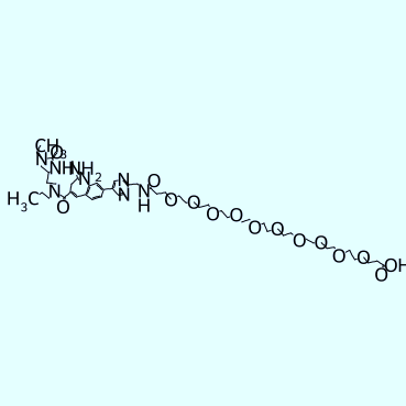 CCCN(CCC1CN(CC)C(=O)N1)C(=O)C1=Cc2ccc(-c3cnc(CNC(=O)CCOCCOCCOCCOCCOCCOCCOCCOCCOCCOCCC(=O)O)nc3)cc2N=C(N)C1